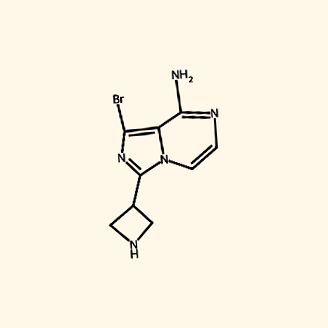 Nc1nccn2c(C3CNC3)nc(Br)c12